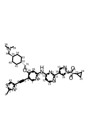 Cc1nc(C#Cc2cnc(Nc3ccnc(-c4cnn(S(=O)(=O)C5CC5)c4)n3)cc2OC[C@H]2CC[C@H](CN(C)C)CC2)cs1